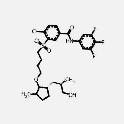 CC1CC[C@@H](C[C@@H](C)CO)C1OCCCCS(=O)(=O)c1cc(C(=O)Nc2cc(F)c(F)c(F)c2)ccc1Cl